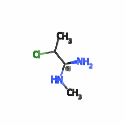 CN[C@H](N)C(C)Cl